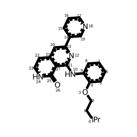 CC(C)CCOc1ccccc1Nc1nc(-c2cccnc2)cc2cc[nH]c(=O)c12